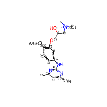 CCN(C)CC(O)COc1cc(Nc2nc(C)cc(NC)n2)ccc1OC